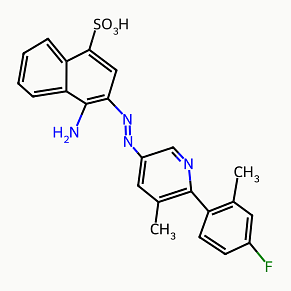 Cc1cc(F)ccc1-c1ncc(N=Nc2cc(S(=O)(=O)O)c3ccccc3c2N)cc1C